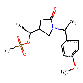 COc1ccc(C(C)N2CC([C@H](C)OS(C)(=O)=O)CC2=O)cc1